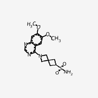 COc1cc2ncnc(N3CC4(CC(S(N)(=O)=O)C4)C3)c2cc1OC